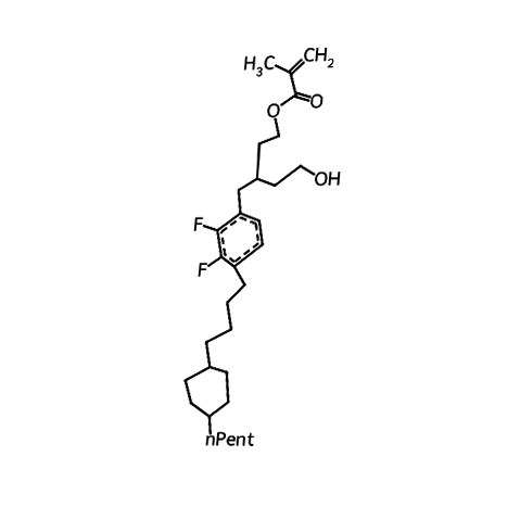 C=C(C)C(=O)OCCC(CCO)Cc1ccc(CCCCC2CCC(CCCCC)CC2)c(F)c1F